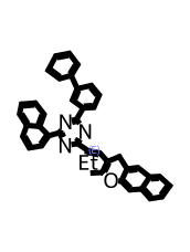 CC/C(=C\C1=C(C)Oc2cc3ccccc3cc2C1)c1nc(-c2cccc(-c3ccccc3)c2)nc(-c2cccc3ccccc23)n1